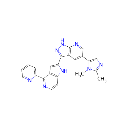 Cc1ncc(-c2cnc3[nH]nc(-c4cc5c(-c6ccccn6)nccc5[nH]4)c3c2)n1C